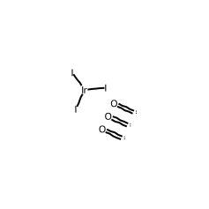 [C]=O.[C]=O.[C]=O.[I][Ir]([I])[I]